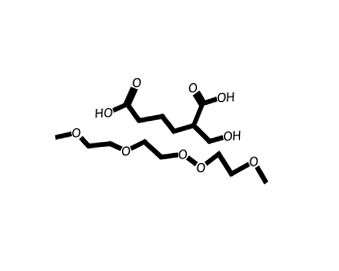 COCCOCCOOCCOC.O=C(O)CCCC(CO)C(=O)O